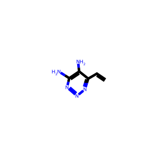 C=Cc1nnnc(N)c1N